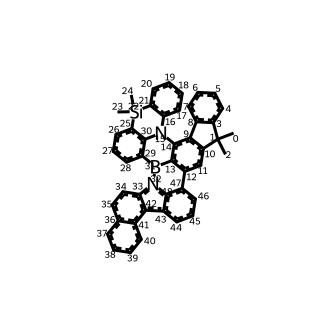 CC1(C)c2ccccc2-c2c1cc1c3c2N2c4ccccc4[Si](C)(C)c4cccc(c42)B3n2c3ccc4ccccc4c3c3cccc-1c32